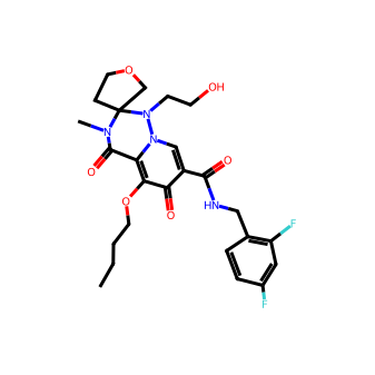 CCCCOc1c2n(cc(C(=O)NCc3ccc(F)cc3F)c1=O)N(CCO)C1(CCOC1)N(C)C2=O